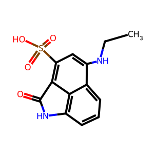 CCNc1cc(S(=O)(=O)O)c2c3c(cccc13)NC2=O